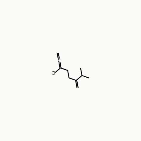 C=C=C(Cl)CCC(=C)C(C)C